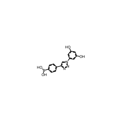 OB(O)c1ccc(-c2cn(-c3cc(O)cc(O)c3)nn2)cc1